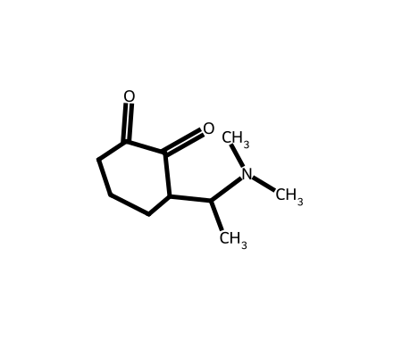 CC(C1CCCC(=O)C1=O)N(C)C